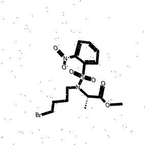 COC(=O)[C@H](C)N(CCCCBr)S(=O)(=O)c1ccccc1[N+](=O)[O-]